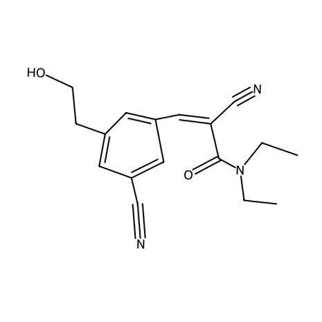 CCN(CC)C(=O)C(C#N)=Cc1cc(C#N)cc(CCO)c1